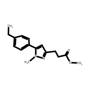 CCc1ccc(-c2cc(CCC(=O)OC)nn2C)cc1